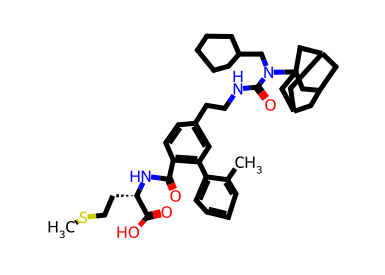 CSCC[C@H](NC(=O)c1ccc(CCNC(=O)N(CC2CCCCC2)C23CC4CC(CC(C4)C2)C3)cc1-c1ccccc1C)C(=O)O